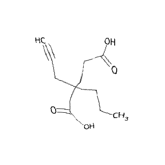 C#CCC(CCC)(CC(=O)O)C(=O)O